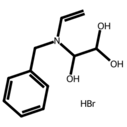 Br.C=CN(Cc1ccccc1)C(O)C(O)O